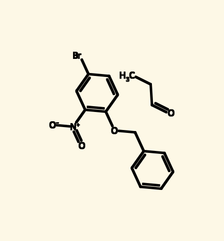 CCC=O.O=[N+]([O-])c1cc(Br)ccc1OCc1ccccc1